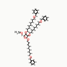 [SiH3]OC[C@H]1O[C@@H](OCCCCCCCCCOCc2ccccc2)[C@H](OCCCCCCCCCOCc2ccccc2)[C@@H]1OCCCCCCCCCOCc1ccccc1